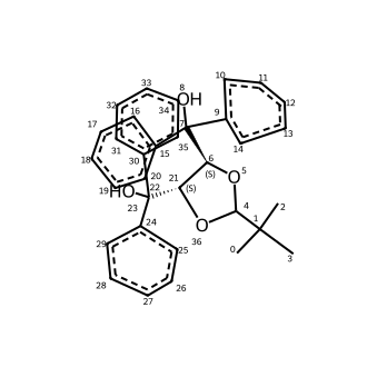 CC(C)(C)C1O[C@H](C(O)(c2ccccc2)c2ccccc2)[C@@H](C(O)(c2ccccc2)c2ccccc2)O1